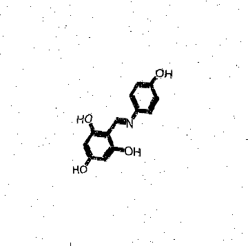 Oc1ccc(N=Cc2c(O)cc(O)cc2O)cc1